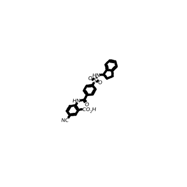 N#Cc1ccc(NC(=O)c2ccc(S(=O)(=O)NC3CCc4ccccc43)cc2)c(C(=O)O)c1